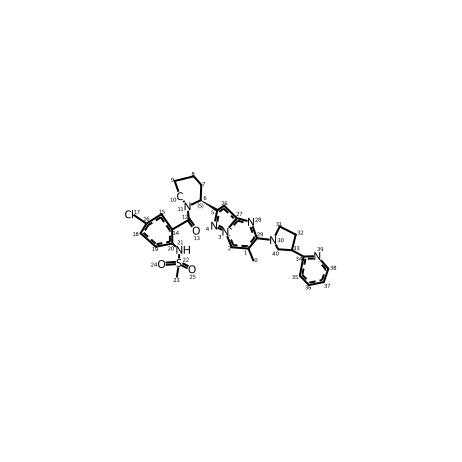 Cc1cn2nc([C@@H]3CCCCN3C(=O)c3cc(Cl)ccc3NS(C)(=O)=O)cc2nc1N1CCC(c2ccccn2)C1